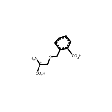 N[C@@H](CSCc1ccccc1C(=O)O)C(=O)O